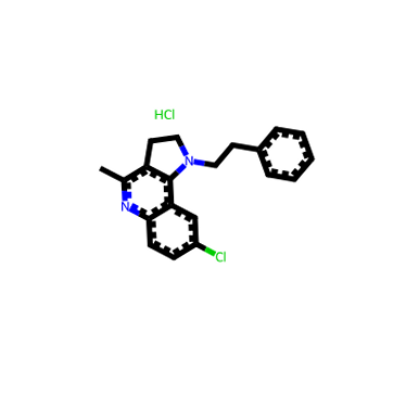 Cc1nc2ccc(Cl)cc2c2c1CCN2CCc1ccccc1.Cl